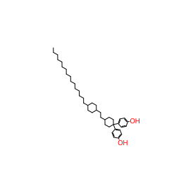 CCCCCCCCCCCCCCCCC1CCC(CCC2CCC(c3ccc(O)cc3)(c3ccc(O)cc3)CC2)CC1